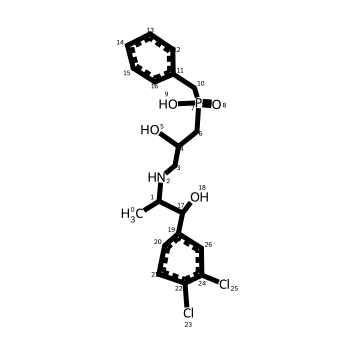 CC(NCC(O)CP(=O)(O)Cc1ccccc1)C(O)c1ccc(Cl)c(Cl)c1